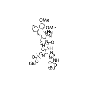 COc1ccc(Cn2nnnc2C2=C(CSc3ccncc3)CS[C@@H]3[C@H](NC(=O)/C(=N\OC(C)(C)C(=O)OC(C)(C)C)c4nsc(NC(=O)OC(C)(C)C)n4)C(=O)N23)c(OC)c1